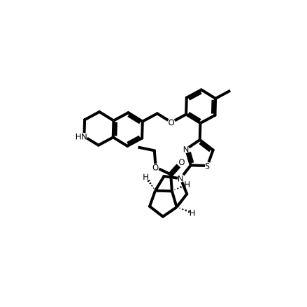 CCOC(=O)[C@H]1[C@@H]2CC[C@H]1CN(c1nc(-c3cc(C)ccc3OCc3ccc4c(c3)CCNC4)cs1)C2